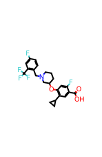 O=C(O)c1cc(C2CC2)c(OC2CCCN(Cc3ccc(F)cc3C(F)(F)F)C2)cc1F